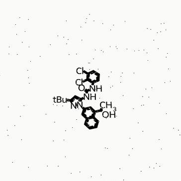 CC(O)c1cc(-n2nc(C(C)(C)C)cc2NC(=O)Nc2cccc(Cl)c2Cl)cc2ccccc12